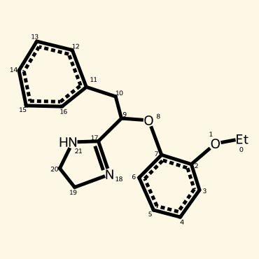 CCOc1ccccc1OC(Cc1ccccc1)C1=NCCN1